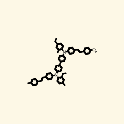 CCc1ccc(N(c2ccc(/C=C/c3ccc(OC)cc3)cc2)c2ccc(-c3ccc(N(c4ccc(/C=C/c5ccc(C)cc5)cc4)c4ccc(C)cc4CC)cc3)cc2)c(C)c1